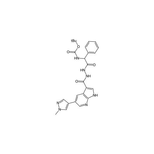 Cn1cc(-c2cnc3[nH]cc(C(=O)NNC(=O)C(NC(=O)OC(C)(C)C)c4ccccc4)c3c2)cn1